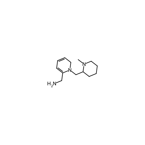 CN1CCCCC1CN1CC=CC=C1CN